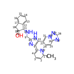 Cc1cccc(-c2nc(CNC3c4ccccc4C[C@H]3O)[nH]c2-c2ccc3ncnn3c2)n1